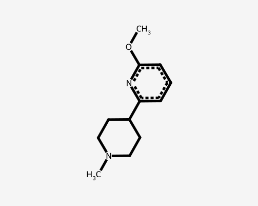 COc1cccc(C2CCN(C)CC2)n1